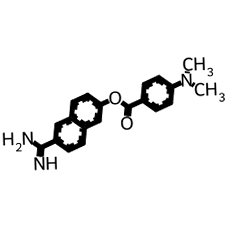 CN(C)c1ccc(C(=O)Oc2ccc3cc(C(=N)N)ccc3c2)cc1